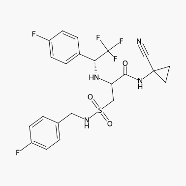 N#CC1(NC(=O)C(CS(=O)(=O)NCc2ccc(F)cc2)N[C@H](c2ccc(F)cc2)C(F)(F)F)CC1